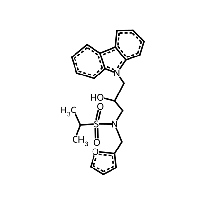 CC(C)S(=O)(=O)N(Cc1ccco1)CC(O)Cn1c2ccccc2c2ccccc21